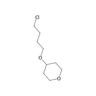 ClCCCCOC1CCOCC1